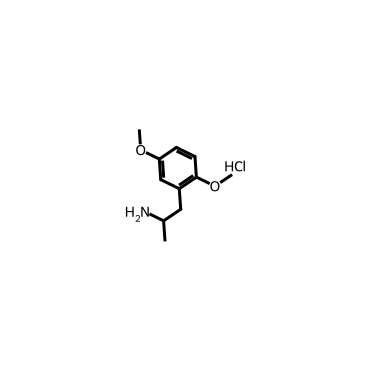 COc1ccc(OC)c(CC(C)N)c1.Cl